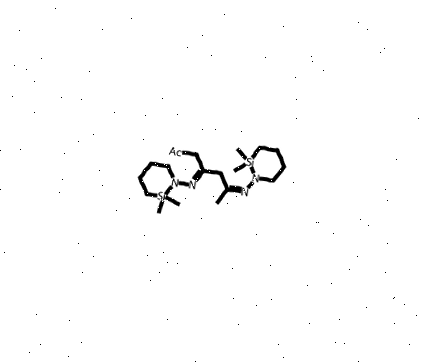 CC(=O)CC(CC(C)=NN1CCCC[Si]1(C)C)=NN1CCCC[Si]1(C)C